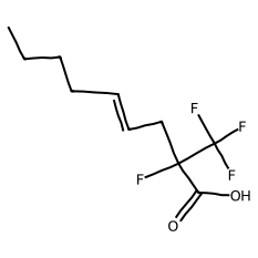 CCCC/C=C/CC(F)(C(=O)O)C(F)(F)F